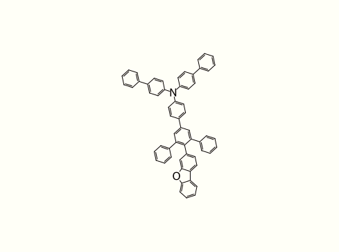 c1ccc(-c2ccc(N(c3ccc(-c4ccccc4)cc3)c3ccc(-c4cc(-c5ccccc5)c(-c5ccc6c(c5)oc5ccccc56)c(-c5ccccc5)c4)cc3)cc2)cc1